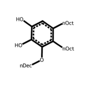 CCCCCCCCCCOc1c(O)c(O)cc(CCCCCCCC)c1CCCCCCCC